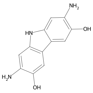 Nc1cc2[nH]c3cc(N)c(O)cc3c2cc1O